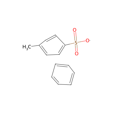 Cc1ccc(S([O])(=O)=O)cc1.c1ccccc1